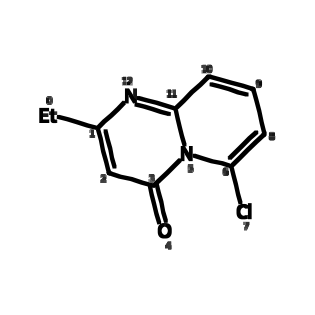 CCc1cc(=O)n2c(Cl)cccc2n1